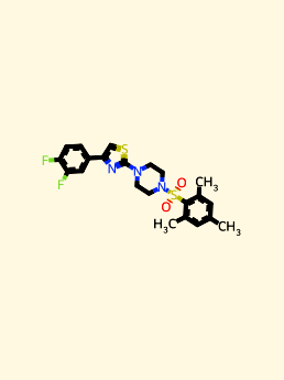 Cc1cc(C)c(S(=O)(=O)N2CCN(c3nc(-c4ccc(F)c(F)c4)cs3)CC2)c(C)c1